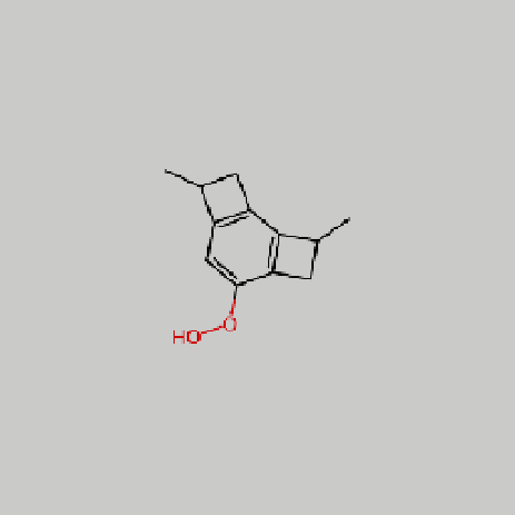 CC1Cc2c1cc(OO)c1c2C(C)C1